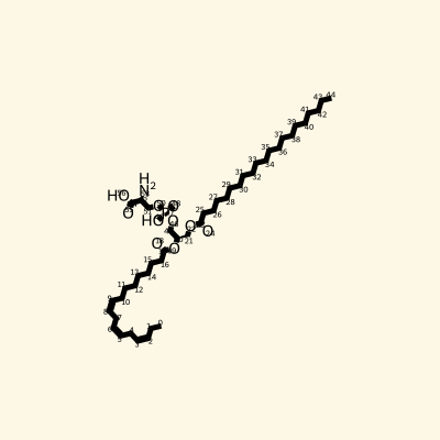 CC/C=C\C/C=C\C/C=C\CCCCCCCC(=O)O[C@H](COC(=O)CCCCCCCCCCCCCCCCCCCC)COP(=O)(O)OC[C@H](N)C(=O)O